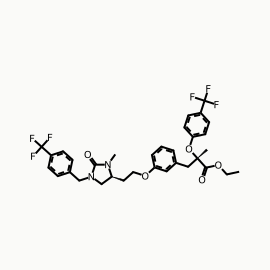 CCOC(=O)[C@](C)(Cc1cccc(OCC[C@H]2CN(Cc3ccc(C(F)(F)F)cc3)C(=O)N2C)c1)Oc1ccc(C(F)(F)F)cc1